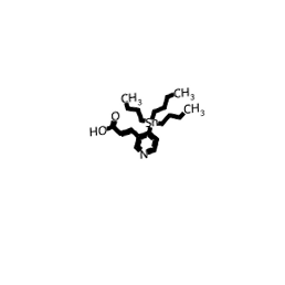 CCC[CH2][Sn]([CH2]CCC)([CH2]CCC)[c]1ccncc1C=CC(=O)O